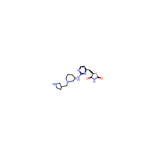 O=C1NC(=O)/C(=C\c2ccnc(N[C@H]3CCCN(CC4CCNC4)C3)n2)S1